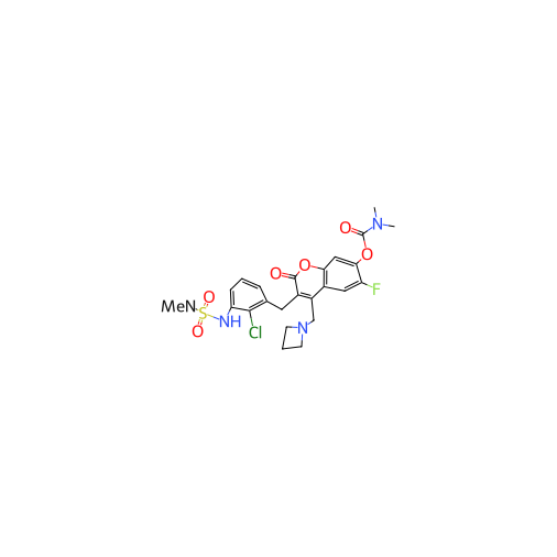 CNS(=O)(=O)Nc1cccc(Cc2c(CN3CCC3)c3cc(F)c(OC(=O)N(C)C)cc3oc2=O)c1Cl